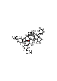 N#Cc1ccc(-n2c3ccc(C#N)cc3c3cc(C#N)ccc32)c(-c2ccc(-c3c4ccccc4c(-c4ccccc4)c4ccccc34)cc2)c1